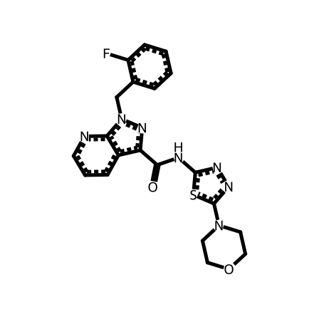 O=C(Nc1nnc(N2CCOCC2)s1)c1nn(Cc2ccccc2F)c2ncccc12